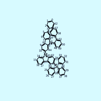 c1ccc(-c2ccc3c4ccc(-n5c6ccccc6c6cc([Si](c7ccccc7)(c7ccccc7)c7ccccc7)ccc65)cc4n(-c4ccccc4-c4ccccc4)c3c2)cc1